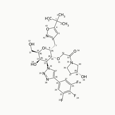 CC(C)(C)c1cc(C[C@H]2O[C@H](CO)[C@H](O)[C@H](n3cc(-c4cc(F)c(F)c(F)c4)nn3)[C@H]2OCC(=O)N2CC[C@@H](O)C2)no1